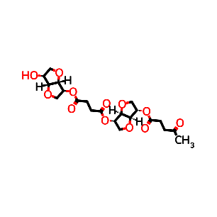 CC(=O)CCC(=O)O[C@H]1CO[C@H]2[C@@H]1OC[C@@H]2OC(=O)CCC(=O)O[C@H]1CO[C@H]2[C@@H]1OC[C@@H]2O